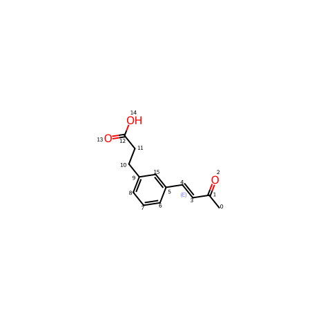 CC(=O)/C=C/c1cccc(CCC(=O)O)c1